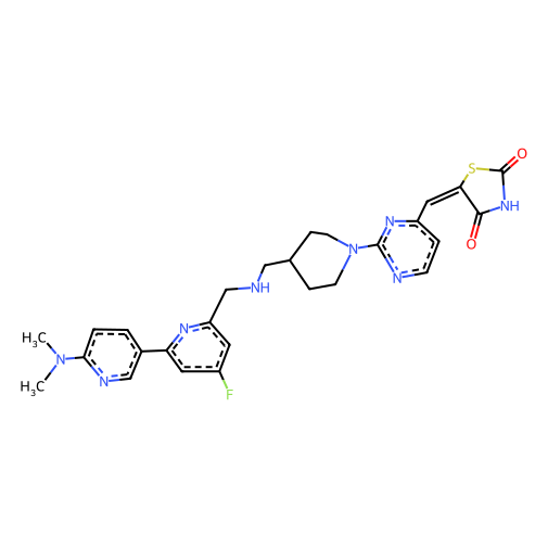 CN(C)c1ccc(-c2cc(F)cc(CNCC3CCN(c4nccc(C=C5SC(=O)NC5=O)n4)CC3)n2)cn1